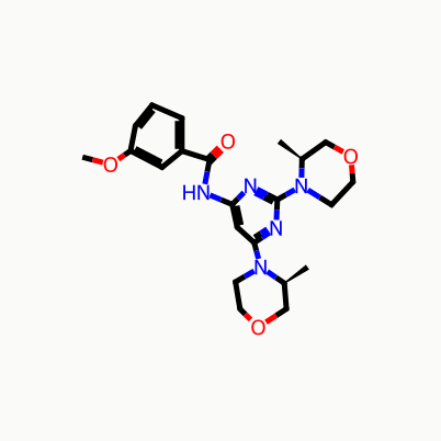 COc1cccc(C(=O)Nc2cc(N3CCOC[C@@H]3C)nc(N3CCOC[C@@H]3C)n2)c1